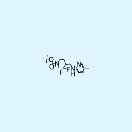 Cc1ccc(NC[C@@H]2CCN(C(=O)OC(C)(C)C)CC2(F)F)nc1